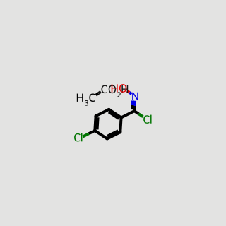 CC(=O)O.O/N=C(/Cl)c1ccc(Cl)cc1